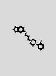 Clc1ccccc1N1CCN(CCCOc2ccc3c(c2)CCC3)CC1